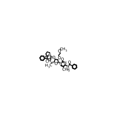 CC[C@H]1O[C@@H](n2cc(C)c(NC(=O)c3ccccc3)nc2=O)C(OCCOC)[C@H]1O[P@]1O[C@@](C)(c2ccccc2)[C@H]2CCCN21